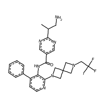 CC(CN)c1ncc(C(=O)Nc2c(-c3ccccc3)ccnc2N2CC3(CN(CC(F)(F)I)C3)C2)cn1